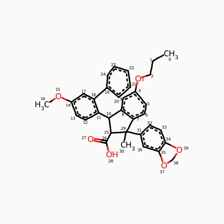 CCCOc1ccc2c(c1)C(c1ccc(OC)cc1-c1ccccc1)C(C(=O)O)C2(C)c1ccc2c(c1)OCO2